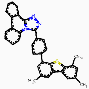 Cc1cc(C)c2sc3c(-c4ccc(-c5nnc6c7ccccc7c7ccccc7n56)cc4)cc(C)cc3c2c1